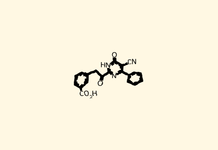 N#Cc1c(-c2ccccc2)nc(C(=O)Cc2cccc(C(=O)O)c2)[nH]c1=O